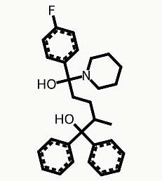 CC(CCC(O)(c1ccc(F)cc1)N1CCCCC1)C(O)(c1ccccc1)c1ccccc1